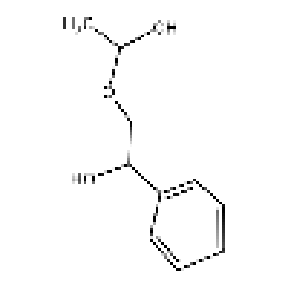 CC(O)OCC(O)c1ccccc1